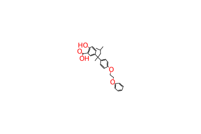 CC(C)CC(C)(c1ccc(OCCOc2ccccc2)cc1)c1ccc(O)c(C(=O)O)c1